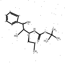 CCC[C@H](NC(=O)OC(C)(C)C)C(O)C(O)c1ccccc1